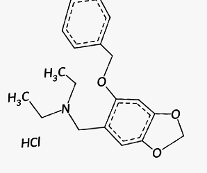 CCN(CC)Cc1cc2c(cc1OCc1ccccc1)OCO2.Cl